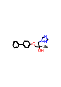 CC(C)(C)C(O)(COc1ccc(-c2ccccc2)cc1)Cn1cncn1